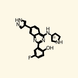 Oc1ccc(F)cc1-c1nc(N[C@H]2CCNC2)c2ccc(-c3cn[nH]c3)cc2n1